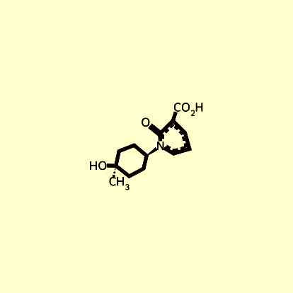 C[C@]1(O)CC[C@@H](n2cccc(C(=O)O)c2=O)CC1